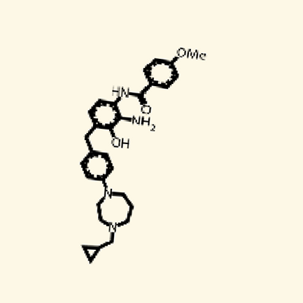 COc1ccc(C(=O)Nc2ccc(Cc3ccc(N4CCCN(CC5CC5)CC4)cc3)c(O)c2N)cc1